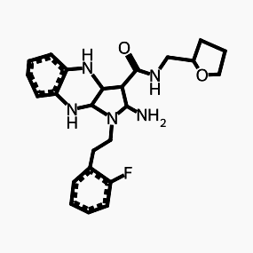 NC1C(C(=O)NCC2CCCO2)C2Nc3ccccc3NC2N1CCc1ccccc1F